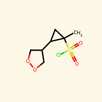 CC1(S(=O)(=O)Cl)CC1C1COOC1